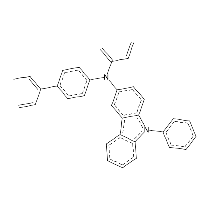 C=CC(=C)N(c1ccc(/C(C=C)=C/C)cc1)c1ccc2c(c1)c1ccccc1n2-c1ccccc1